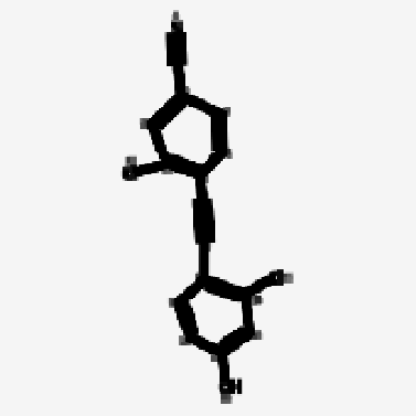 N#Cc1ccc(C#Cc2ccc(O)cc2Cl)c(Cl)c1